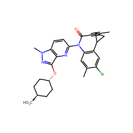 CC#CC(=O)N(c1ccc2c(n1)c(O[C@H]1CC[C@H](C(=O)O)CC1)nn2C)c1cc(C)c(Br)cc1C1CC1